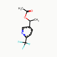 CC(=O)OC(C)c1ccc(C(F)(F)F)nc1